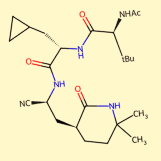 CC(=O)N[C@H](C(=O)N[C@@H](CC1CC1)C(=O)N[C@H](C#N)C[C@@H]1CCC(C)(C)NC1=O)C(C)(C)C